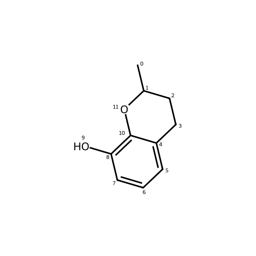 CC1CCc2cccc(O)c2O1